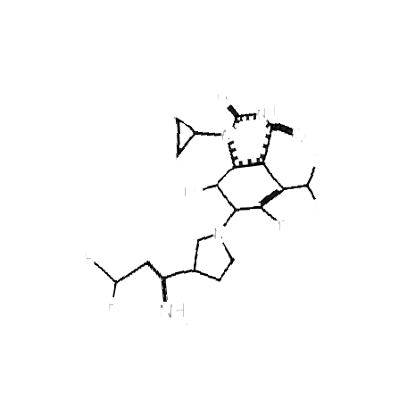 CC1c2c(c(=O)[nH]c(=O)n2C2CC2)C(C(F)F)=C(F)C1N1CCC(C(N)CC(F)F)C1